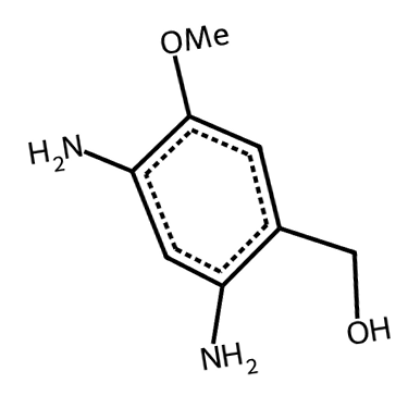 COc1cc(CO)c(N)cc1N